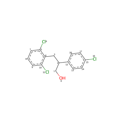 OCC(Cc1c(Cl)cccc1Cl)c1ccc(Cl)cc1